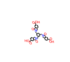 O=C(O)c1ccc2c(c1)C(=O)N(Cc1cc(CN3Cc4ccc(C(=O)O)cc4C3=O)cc(CN3Cc4ccc(C(=O)O)cc4C3=O)c1)C2